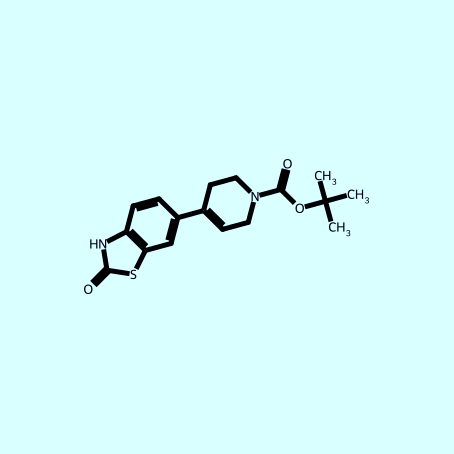 CC(C)(C)OC(=O)N1CC=C(c2ccc3[nH]c(=O)sc3c2)CC1